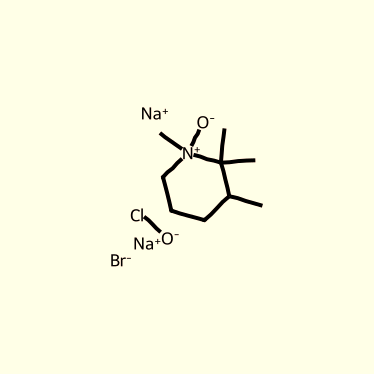 CC1CCC[N+](C)([O-])C1(C)C.[Br-].[Na+].[Na+].[O-]Cl